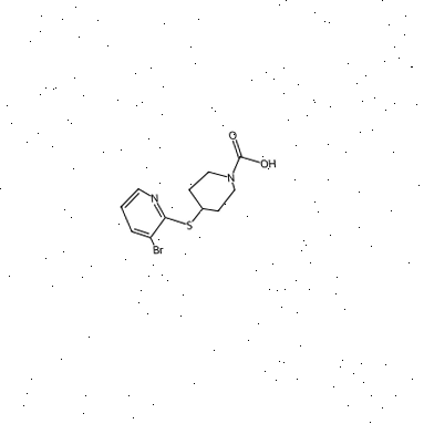 O=C(O)N1CCC(Sc2ncccc2Br)CC1